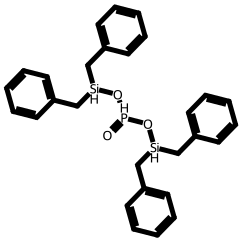 O=[PH](O[SiH](Cc1ccccc1)Cc1ccccc1)O[SiH](Cc1ccccc1)Cc1ccccc1